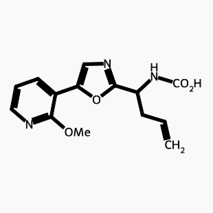 C=CCC(NC(=O)O)c1ncc(-c2cccnc2OC)o1